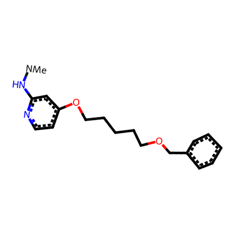 CNNc1cc(OCCCCCOCc2ccccc2)ccn1